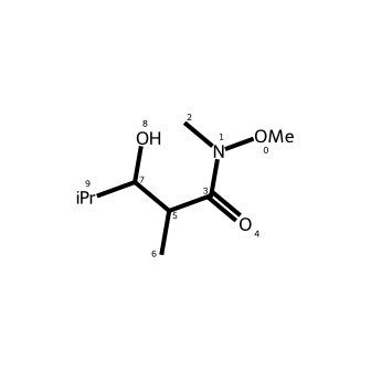 CON(C)C(=O)C(C)C(O)C(C)C